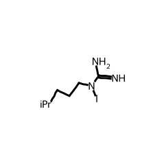 CC(C)CCCN(I)C(=N)N